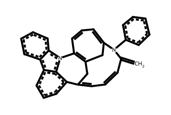 C=C1/C=C\C=C2/CC3=C(C=CC=C(C3)N1c1ccccc1)n1c3ccccc3c3cccc2c31